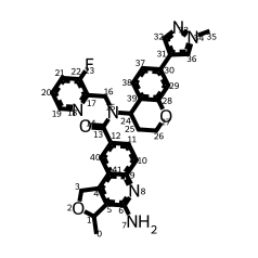 CC1OCc2c1c(N)nc1ccc(C(=O)N(Cc3ncccc3F)C3CCOc4cc(-c5cnn(C)c5)ccc43)cc21